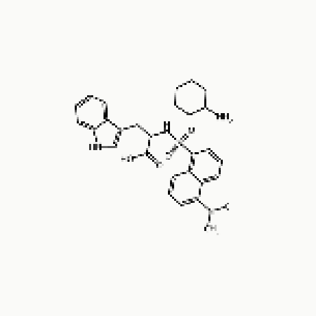 CN(C)c1cccc2c(S(=O)(=O)NC(Cc3c[nH]c4ccccc34)C(=O)O)cccc12.NC1CCCCC1